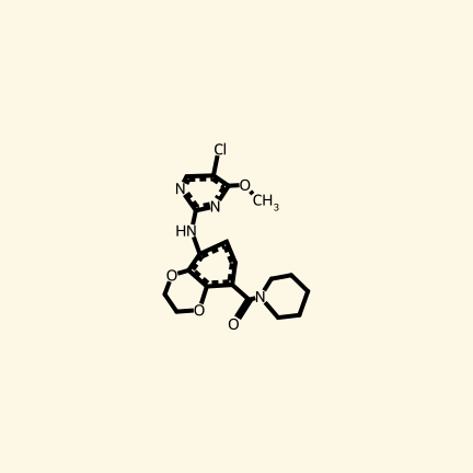 COc1nc(Nc2ccc(C(=O)N3CCCCC3)c3c2OCCO3)ncc1Cl